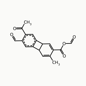 CC(=O)c1cc2c(cc1C=O)C1C=C(C)C(C(=O)OC=O)=CC21